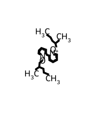 CCCCC(CC)CO[n+]1ccccc1-c1cccc[n+]1OCC(CC)CCCC